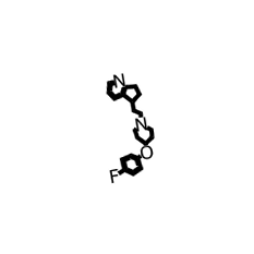 Fc1ccc(OC2CCN(CCC3CCc4ncccc43)CC2)cc1